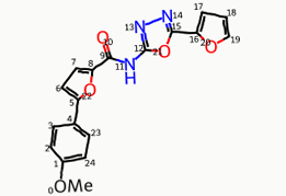 COc1ccc(-c2ccc(C(=O)Nc3nnc(-c4ccco4)o3)o2)cc1